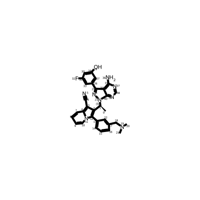 C[C@@H](c1c(C#N)c2ccccn2c1-c1cccc(CN(C)C)c1)n1nc(-c2cc(O)cc(F)c2)c2c(N)ncnc21